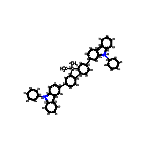 C[Si]1(C)c2cc(-c3ccc4c(c3)c3ccccc3n4-c3ccccc3)ccc2-c2ccc(-c3ccc4c5ccccc5n(-c5ccccc5)c4c3)cc21